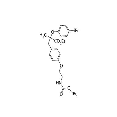 CCOC(=O)C(C)(Cc1ccc(OCCNC(=O)OC(C)(C)C)cc1)Oc1ccc(C(C)C)cc1